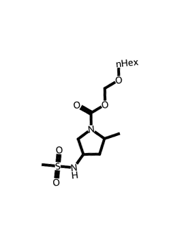 CCCCCCOCOC(=O)N1CC(NS(C)(=O)=O)CC1C